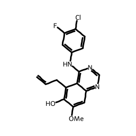 C=CCc1c(O)c(OC)cc2ncnc(Nc3ccc(Cl)c(F)c3)c12